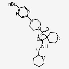 CCCCc1cnc(N2CCN(S(=O)(=O)C3(C(=O)NOC4CCCCO4)CCOCC3)CC2)cn1